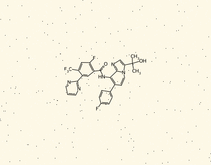 CC(C)(O)c1cnc2c(NC(=O)c3cc(-c4ncccn4)c(C(F)(F)F)cc3F)c(-c3ccc(F)cc3)ccn12